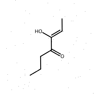 CC=C(O)C(=O)CCC